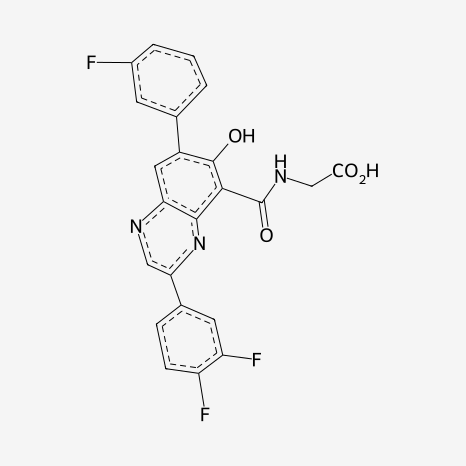 O=C(O)CNC(=O)c1c(O)c(-c2cccc(F)c2)cc2ncc(-c3ccc(F)c(F)c3)nc12